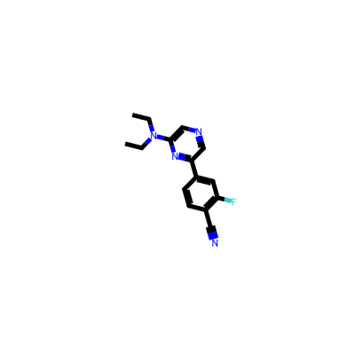 CCN(CC)c1cncc(-c2ccc(C#N)c(F)c2)n1